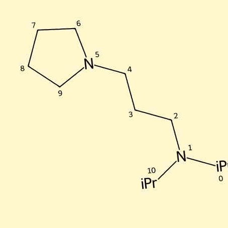 CC(C)N(CCCN1CCCC1)C(C)C